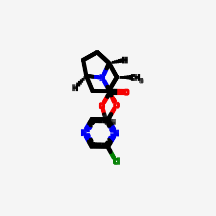 C[C@@H]1[C@@H](Oc2cncc(Cl)n2)C[C@H]2CC[C@@H]1N2C(=O)OC(C)(C)C